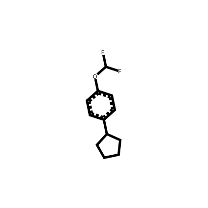 FC(F)Oc1ccc([C]2CCCC2)cc1